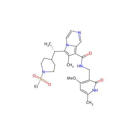 CCS(=O)(=O)N1CCC([C@H](C)c2c(C)c(C(=O)NCc3c(OC)cc(C)[nH]c3=O)c3cnccn23)CC1